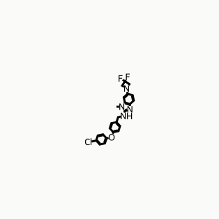 Cn1c(NCc2ccc(Oc3ccc(Cl)cc3)cc2)nc2ccc(N3CC(F)(F)C3)cc21